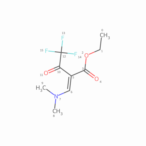 CCOC(=O)C(=CN(C)C)C(=O)C(F)(F)F